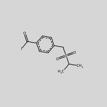 CC(C)S(=O)(=O)Cc1ccc(C(=O)I)cc1